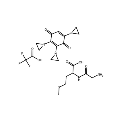 CSCCC(NC(=O)CN)C(=O)O.O=C(O)C(F)(F)F.O=C1C=C(N2CC2)C(=O)C(N2CC2)=C1N1CC1